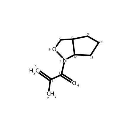 C=C(C)C(=O)N1OCC2CCCC21